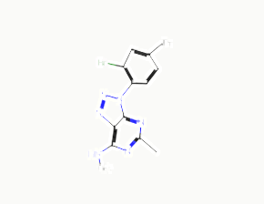 CCCNc1nc(C)nc2c1nnn2-c1ccc(C(C)C)cc1Br